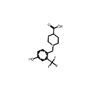 O=C(O)C1CCN(Cc2ccc(O)cc2C(F)(F)F)CC1